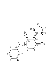 O=C1CCN(Cc2ccccc2)C(=O)C1=C1SCCS1